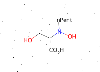 CCCCCN(O)[C@@H](CO)C(=O)O